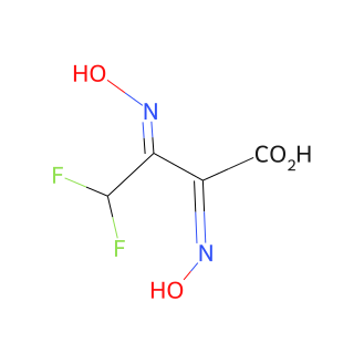 O=C(O)C(=NO)C(=NO)C(F)F